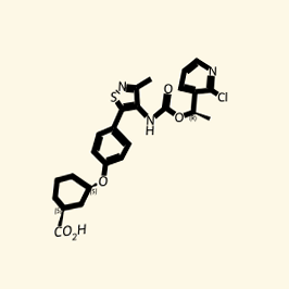 Cc1nsc(-c2ccc(O[C@H]3CCC[C@H](C(=O)O)C3)cc2)c1NC(=O)O[C@H](C)c1cccnc1Cl